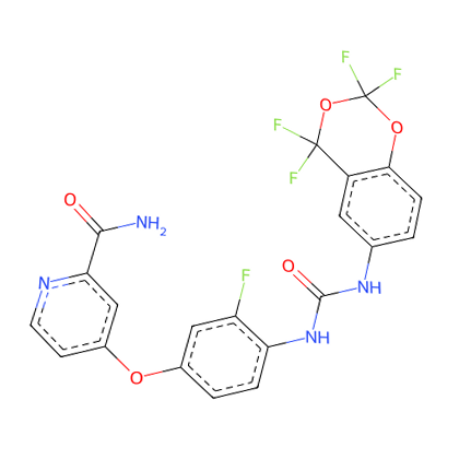 NC(=O)c1cc(Oc2ccc(NC(=O)Nc3ccc4c(c3)C(F)(F)OC(F)(F)O4)c(F)c2)ccn1